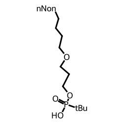 CCCCCCCCCCCCCOCCCOP(=O)(O)C(C)(C)C